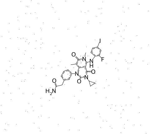 Cc1c(=O)n(C)c(Nc2ccc(I)cc2F)c2c(=O)n(C3CC3)c(=O)n(-c3cccc(CC(N)=O)c3)c12